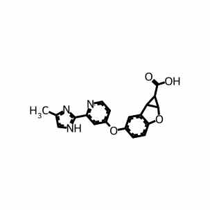 Cc1c[nH]c(-c2cc(Oc3ccc4c(c3)C3C(O4)C3C(=O)O)ccn2)n1